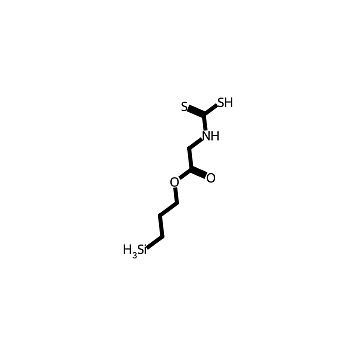 O=C(CNC(=S)S)OCCC[SiH3]